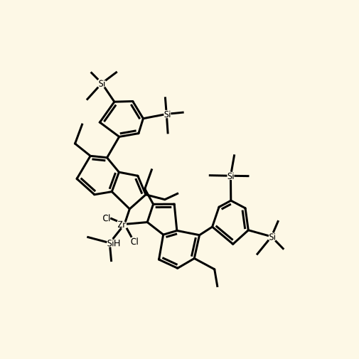 CCC1=Cc2c(ccc(CC)c2-c2cc([Si](C)(C)C)cc([Si](C)(C)C)c2)[CH]1[Zr]([Cl])([Cl])([CH]1C(CC)=Cc2c1ccc(CC)c2-c1cc([Si](C)(C)C)cc([Si](C)(C)C)c1)[SiH](C)C